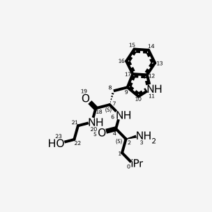 CC(C)C[C@H](N)C(=O)N[C@@H](Cc1c[nH]c2ccccc12)C(=O)NCCO